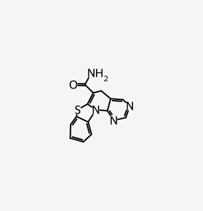 NC(=O)C1=C2Sc3ccccc3N2c2ncncc2C1